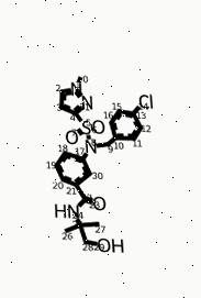 Cn1ccc(S(=O)(=O)N(Cc2ccc(Cl)cc2)c2cccc(C(=O)NC(C)(C)CO)c2)n1